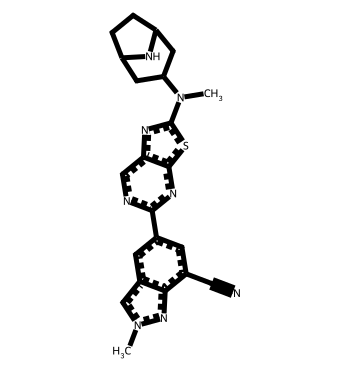 CN(c1nc2cnc(-c3cc(C#N)c4nn(C)cc4c3)nc2s1)C1CC2CCC(C1)N2